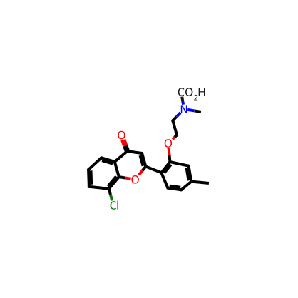 Cc1ccc(-c2cc(=O)c3cccc(Cl)c3o2)c(OCCN(C)C(=O)O)c1